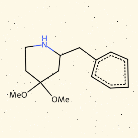 COC1(OC)CCNC(Cc2ccccc2)C1